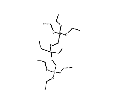 CCO[Si](CS[Si](CC)(CC)SC[Si](OCC)(OCC)OCC)(OCC)OCC